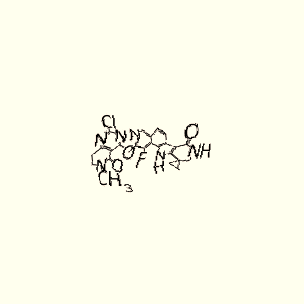 CN1CCc2nc(Cl)nc(Oc3ncc4ccc5c6c([nH]c5c4c3F)C3(CC3)CNC6=O)c2C1=O